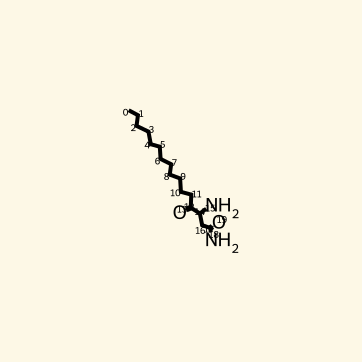 CCCCCCCCCCCCC(=O)C(N)CC(N)=O